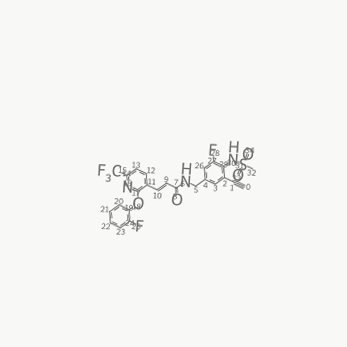 C#Cc1cc(CNC(=O)C=Cc2ccc(C(F)(F)F)nc2Oc2ccccc2F)cc(F)c1NS(C)(=O)=O